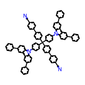 N#Cc1ccc(-c2ccc(C(c3ccc(-c4ccc(C#N)cc4)cc3)(c3ccc(-n4c5ccc(-c6ccccc6)cc5c5cc(-c6ccccc6)ccc54)cc3)c3ccc(-n4c5ccc(-c6ccccc6)cc5c5cc(-c6ccccc6)ccc54)cc3)cc2)cc1